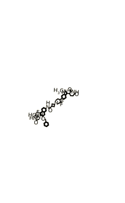 Cn1nc(C2CCC(=O)NC2=O)c2ccc(C3CCN(C4CC(C(=O)Nc5ccc6c(F)c(N7CC(=O)NS7(O)O)c(OCc7ccccc7)cc6c5)C4)CC3(F)F)cc21